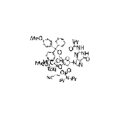 COc1ccc(C(OC[C@H]2O[C@@H](n3cnc4c(=O)[nH]c(NC(=O)C(C)C)nc43)[C@H](OP(OCCC#N)N(C(C)C)C(C)C)[C@H]2O[Si](C)(C)C(C)(C)C)(c2ccccc2)c2ccc(OC)cc2)cc1